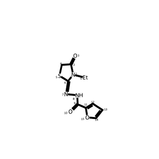 CCN1C(=O)CS/C1=N/NC(=O)c1ccco1